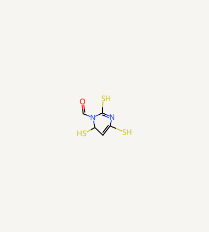 O=CN1C(S)=NC(S)=CC1S